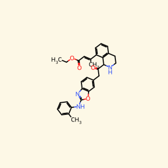 CCOC(=O)C=C(C)c1cccc2c1C(C(=O)Cc1ccc3nc(Nc4ccccc4C)oc3c1)NCC2